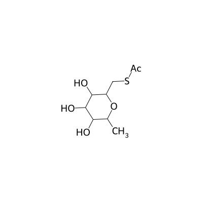 CC(=O)SCC1OC(C)C(O)C(O)C1O